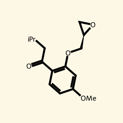 COc1ccc(C(=O)CC(C)C)c(OC[C@H]2CO2)c1